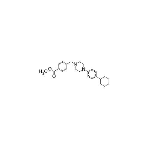 COC(=O)c1ccc(CN2CCN(c3ccc(C4CCCCC4)cc3)CC2)cc1